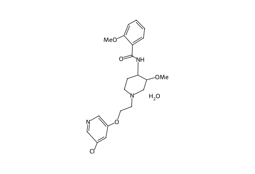 COc1ccccc1C(=O)NC1CCN(CCOc2cncc(Cl)c2)CC1OC.O